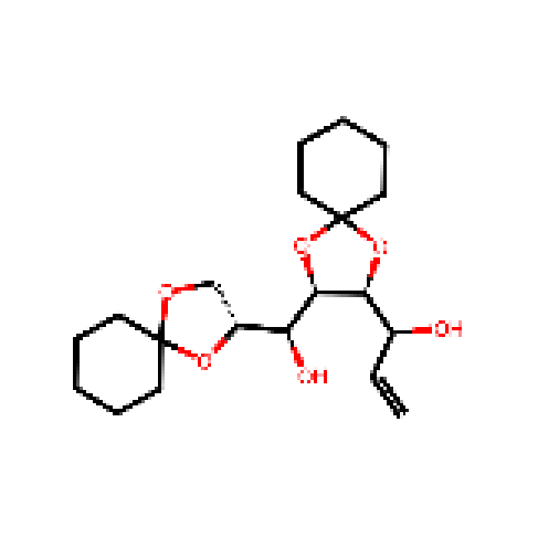 C=C[C@H](O)[C@@H]1OC2(CCCCC2)O[C@@H]1[C@@H](O)[C@H]1COC2(CCCCC2)O1